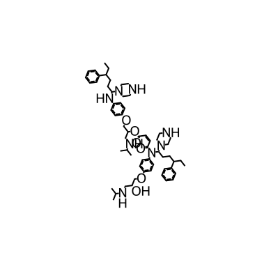 CCC(CCC(Nc1ccc(OCC(CNC(C)C)OC(=O)/C=C\C(=O)N(c2ccc(OCC(O)CNC(C)C)cc2)C(CCC(CC)c2ccccc2)N2CCNCC2)cc1)N1CCNCC1)c1ccccc1